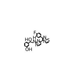 Oc1cccc(C(O)CNc2nccc(-c3c(-c4ccc(F)cc4)nc4sccn34)n2)c1